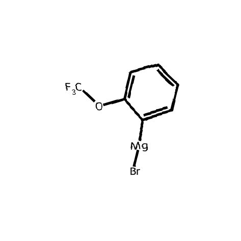 FC(F)(F)Oc1cccc[c]1[Mg][Br]